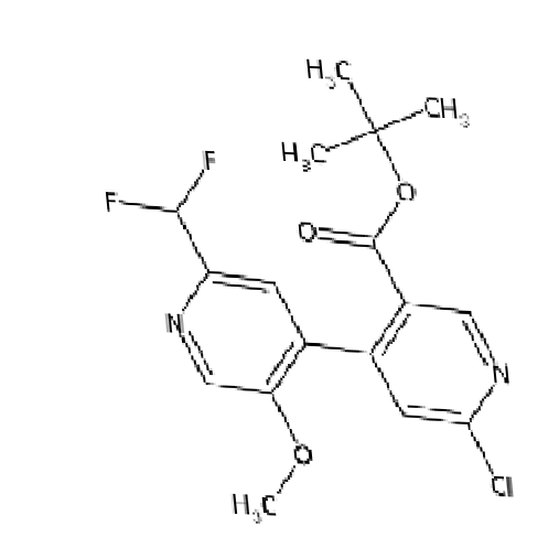 COc1cnc(C(F)F)cc1-c1cc(Cl)ncc1C(=O)OC(C)(C)C